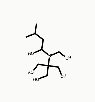 CC(C)CC(O)N(CO)C(CO)(CO)CO